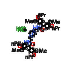 CCCOc1ccc(C(C(=O)NCCN2CCN(CCNC(=O)C(c3ccc(OCCC)c(OC)c3)c3ccc(OCCC)c(OC)c3)CC2)c2ccc(OCCC)c(OC)c2)cc1OC.Cl.Cl